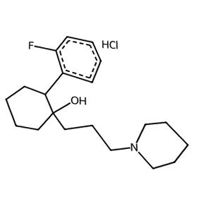 Cl.OC1(CCCN2CCCCC2)CCCCC1c1ccccc1F